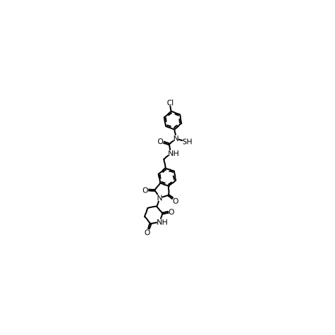 O=C1CCC(N2C(=O)c3ccc(CNC(=O)N(S)c4ccc(Cl)cc4)cc3C2=O)C(=O)N1